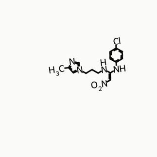 Cc1cn(CCCNC(=C[N+](=O)[O-])Nc2ccc(Cl)cc2)cn1